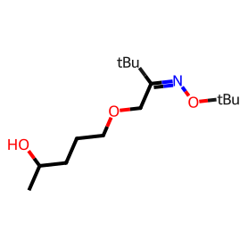 CC(O)CCCOCC(=NOC(C)(C)C)C(C)(C)C